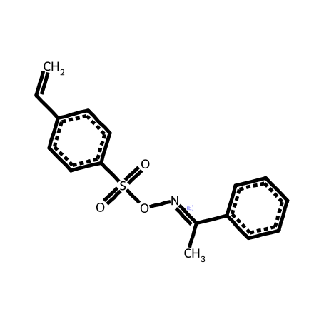 C=Cc1ccc(S(=O)(=O)O/N=C(\C)c2ccccc2)cc1